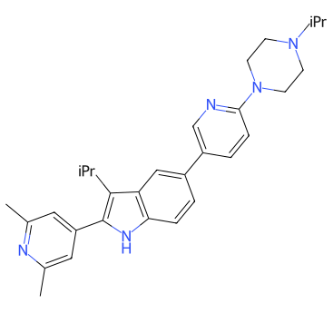 Cc1cc(-c2[nH]c3ccc(-c4ccc(N5CCN(C(C)C)CC5)nc4)cc3c2C(C)C)cc(C)n1